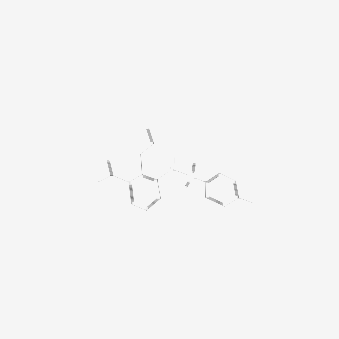 C=CCc1c(NS(=O)(=O)c2ccc(C)cc2)cccc1C(=O)O